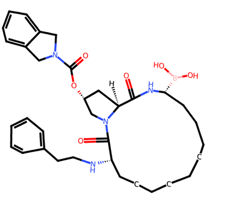 O=C1N[C@H](B(O)O)CCCCCCCCC[C@H](NCCc2ccccc2)C(=O)N2C[C@H](OC(=O)N3Cc4ccccc4C3)C[C@@H]12